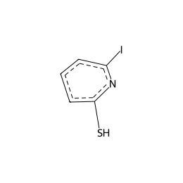 Sc1cccc(I)n1